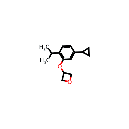 CC(C)c1ccc(C2CC2)cc1OC1COC1